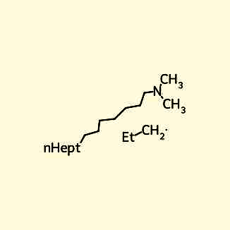 CCCCCCCCCCCCCCN(C)C.[CH2]CC